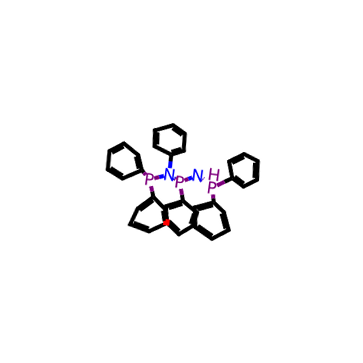 c1ccc(N(P(N=[PH](c2ccccc2)c2ccccc2)c2ccccc2)P(c2ccccc2)c2ccccc2)cc1